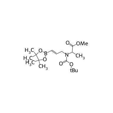 COC(=O)C(C)N(C/C=C/B1OC(C)(C)C(C)(C)O1)C(=O)OC(C)(C)C